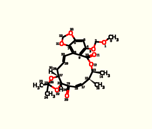 COCOc1cc2c(c3c1C(=O)O[C@@H](C)[C@H](C)/C=C\C(=O)[C@H]1OC(C)(C)O[C@H]1C/C=C/3)OCO2